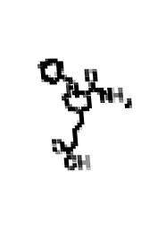 NC(=O)C1CC(CCCC(=O)O)CCN1Cc1ccccc1